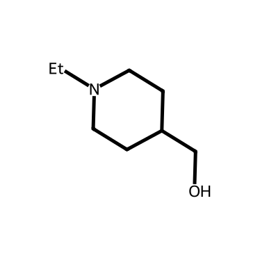 [CH2]CN1CCC(CO)CC1